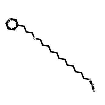 [N-]=[N+]=NCCCCCCCCCCCCOCCCc1cccnc1